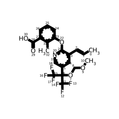 CC=Cc1cc(C(OCOC)(C(F)(F)F)C(F)(F)F)cnc1Oc1cccc(C(=O)O)c1C